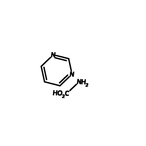 NC(=O)O.c1cncnc1